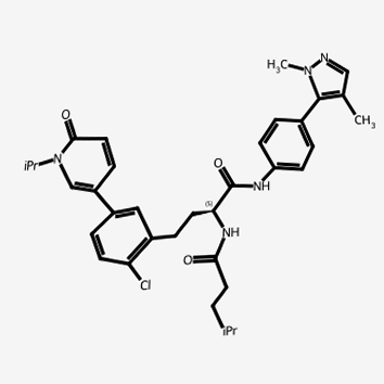 Cc1cnn(C)c1-c1ccc(NC(=O)[C@H](CCc2cc(-c3ccc(=O)n(C(C)C)c3)ccc2Cl)NC(=O)CCC(C)C)cc1